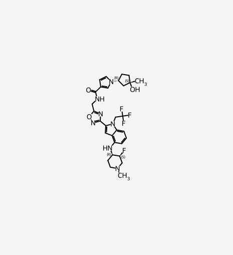 CN1CC[C@@H](Nc2cccc3c2cc(-c2noc(CNC(=O)c4ccn([C@@H]5CC[C@](C)(O)C5)c4)n2)n3CC(F)(F)F)[C@@H](F)C1